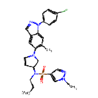 COCCN(C1CCN(c2cc3cnn(-c4ccc(F)cc4)c3cc2C)C1)S(=O)(=O)c1cnn(C)c1